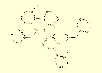 O=C(Nc1ccccc1)Oc1c(Oc2cccc(-c3ccccc3O)c2OC(=O)Nc2ccccc2)cccc1-c1ccccc1O